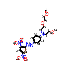 COCCOCCN(CCOC)c1ccc(/N=N/c2sc([N+](=O)[O-])cc2[N+](=O)[O-])cc1